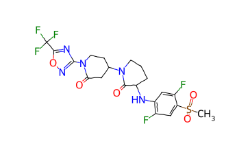 CS(=O)(=O)c1cc(F)c(NC2CCCN(C3CCN(c4noc(C(F)(F)F)n4)C(=O)C3)C2=O)cc1F